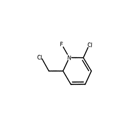 FN1C(Cl)=CC=CC1CCl